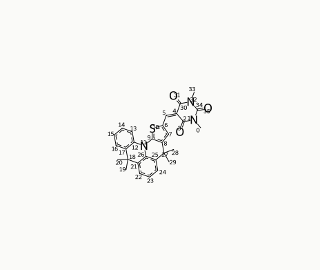 CN1C(=O)C(=Cc2cc3c(s2)N2c4ccccc4C(C)(C)c4cccc(c42)C3(C)C)C(=O)N(C)C1=O